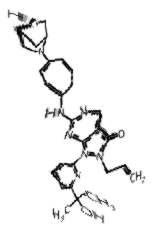 C=CCn1c(=O)c2cnc(NC3=CC=C(N4CC5CC4CN5)C=CC3)nc2n1-c1cccc(C(C)(C)O)n1